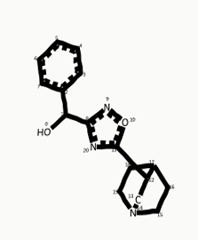 OC(c1ccccc1)c1noc(C2CN3CCC2CC3)n1